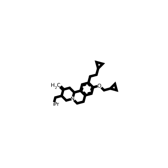 C=C1CC2c3cc(CCC4CC4)c(OCC4CC4)cc3CCN2CC1CC(C)C